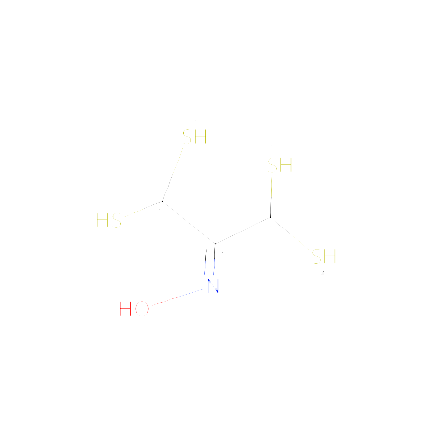 ON=C(C(S)S)C(S)S